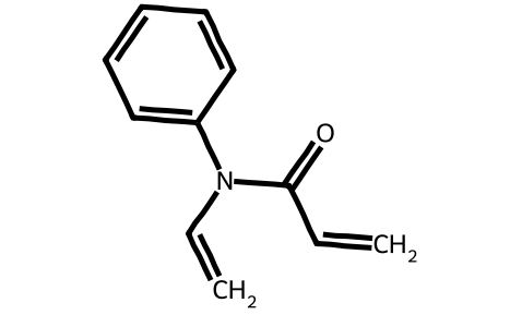 C=CC(=O)N(C=C)c1ccccc1